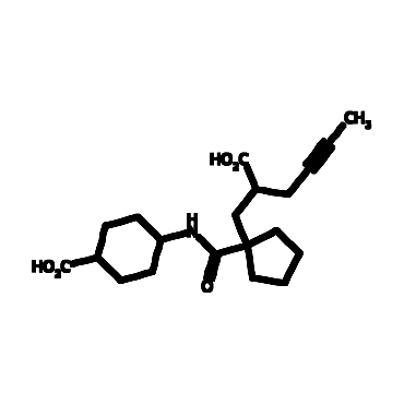 CC#CCC(CC1(C(=O)NC2CCC(C(=O)O)CC2)CCCC1)C(=O)O